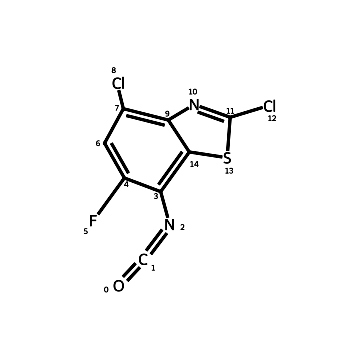 O=C=Nc1c(F)cc(Cl)c2nc(Cl)sc12